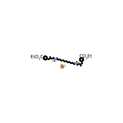 CCOC(=O)c1ccc(CC(C)c2c[n+](CCCCCCCCCCCC[n+]3csc(C(C)Cc4ccc(C(=O)OCC)cc4)c3)cs2)cc1.[Br-].[Br-]